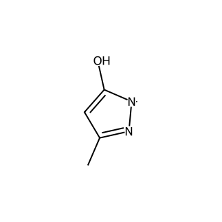 CC1=N[N]C(O)=C1